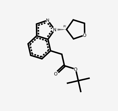 CC(C)(C)OC(=O)Cc1cccc2cnn([C@@H]3CCOC3)c12